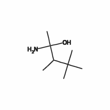 CC(C(C)(C)C)C(C)(N)O